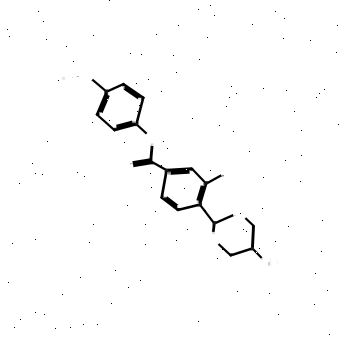 CCCCCc1ccc(OC(=O)c2ccc(C3OCC(CCC)CO3)c(F)c2)cc1